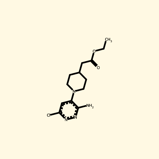 CCOC(=O)CC1CCN(c2cc(Cl)nnc2N)CC1